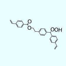 C=Cc1ccc(C(=O)OCCc2ccc(C(OO)c3ccc(C=C)cc3)cc2)cc1